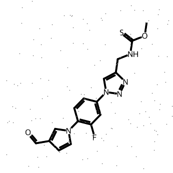 COC(=S)NCc1cn(-c2ccc(-n3ccc(C=O)c3)c(F)c2)nn1